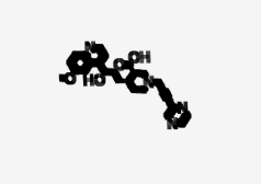 COc1ccc2nccc([C@H](O)CC[C@@H]3CCN(CC#Cc4cnccn4)C[C@@H]3C(=O)O)c2c1